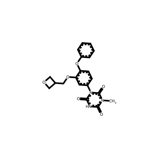 Cn1c(=O)[nH]c(=O)n(-c2ccc(Oc3ccccc3)c(OCC3COC3)c2)c1=O